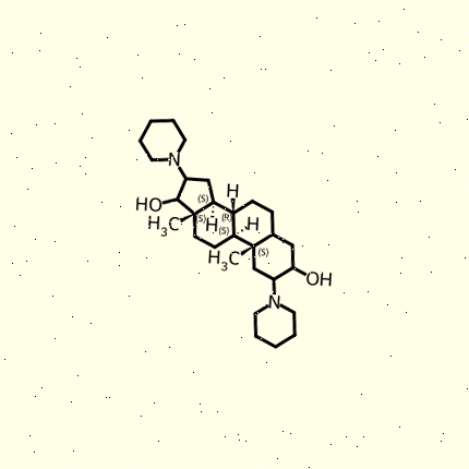 C[C@]12CC(N3CCCCC3)C(O)CC1CC[C@@H]1[C@@H]2CC[C@]2(C)C(O)C(N3CCCCC3)C[C@@H]12